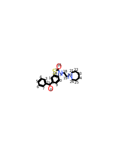 O=C(c1ccccc1)c1ccc2c(c1)sc(=O)n2CCN1CCCCCC1